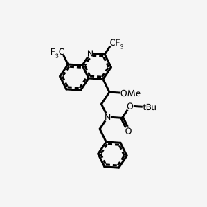 COC(CN(Cc1ccccc1)C(=O)OC(C)(C)C)c1cc(C(F)(F)F)nc2c(C(F)(F)F)cccc12